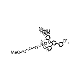 COCCOCCOCCOCCN(C)C(=O)Oc1cc(-c2cc(-c3cccc(C(F)(F)F)c3)ccc2Oc2ccc(S(=O)(=O)Nc3ncns3)cc2C#N)ccn1